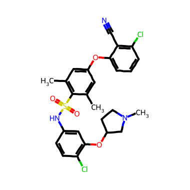 Cc1cc(Oc2cccc(Cl)c2C#N)cc(C)c1S(=O)(=O)Nc1ccc(Cl)c(OC2CCN(C)C2)c1